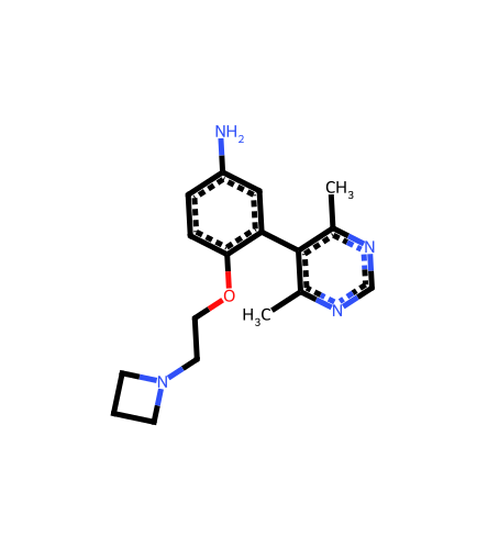 Cc1ncnc(C)c1-c1cc(N)ccc1OCCN1CCC1